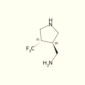 NC[C@@H]1CNC[C@H]1C(F)(F)F